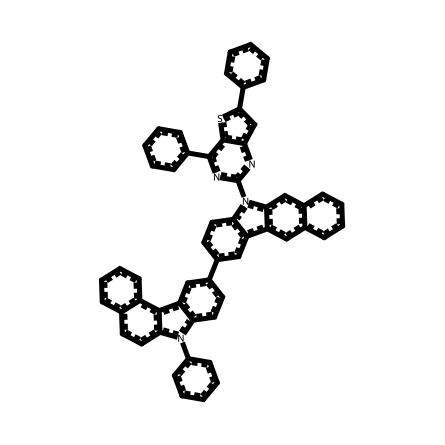 c1ccc(-c2cc3nc(-n4c5ccc(-c6ccc7c(c6)c6c8ccccc8ccc6n7-c6ccccc6)cc5c5cc6ccccc6cc54)nc(-c4ccccc4)c3s2)cc1